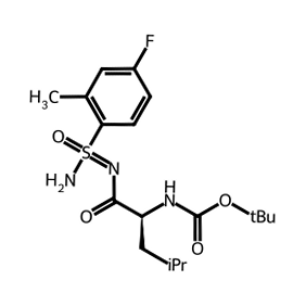 Cc1cc(F)ccc1S(N)(=O)=NC(=O)[C@H](CC(C)C)NC(=O)OC(C)(C)C